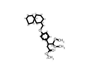 COC(=O)CC(c1ccc(OCC2CCCC3(CCCCC3)C2)cc1)C(OC)OC